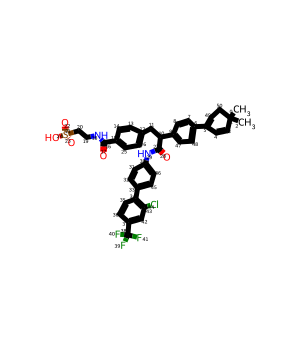 CC1(C)C=CC(c2ccc(C(Cc3ccc(C(=O)NCCS(=O)(=O)O)cc3)C(=O)Nc3ccc(-c4ccc(C(F)(F)F)cc4Cl)cc3)cc2)=CC1